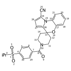 CC(C)S(=O)(=O)c1ccc(C(=O)N2CCC3(CC2)Oc2ccccc2-n2c(C#N)ccc23)cc1